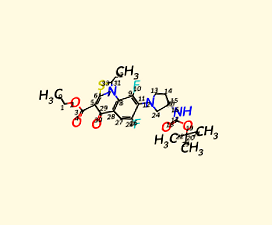 CCOC(=O)c1c2n(c3c(F)c(N4CC[C@H](NC(=O)OC(C)(C)C)C4)c(F)cc3c1=O)C(C)S2